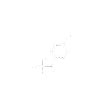 CC(=O)Oc1ccc(C(=O)C(C)(C)O)cc1